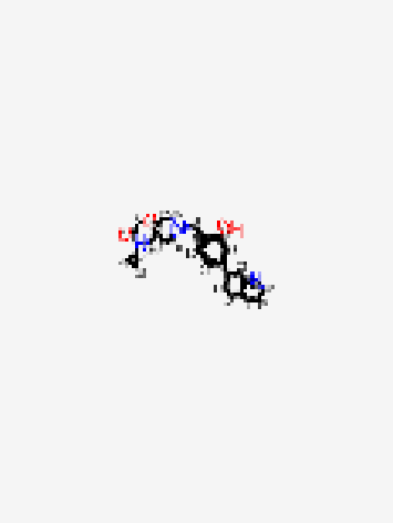 O=C1COC2(CCN(Cc3ccc(-c4ccc5cccnc5c4)cc3O)CC2)CN1C1CC1